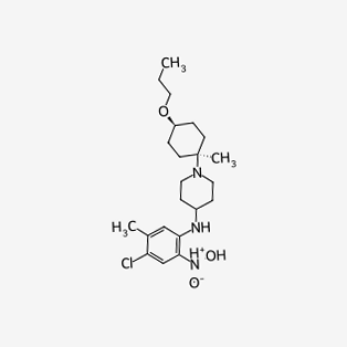 CCCO[C@H]1CC[C@@](C)(N2CCC(Nc3cc(C)c(Cl)cc3[NH+]([O-])O)CC2)CC1